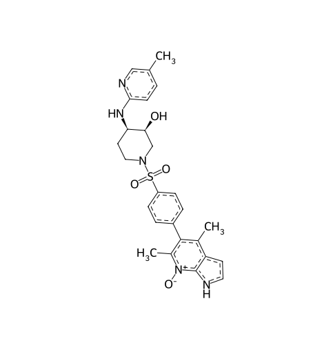 Cc1ccc(N[C@@H]2CCN(S(=O)(=O)c3ccc(-c4c(C)c5cc[nH]c5[n+]([O-])c4C)cc3)C[C@@H]2O)nc1